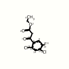 CCOC(=O)CC(=O)c1cc(F)c(Cl)cc1Cl